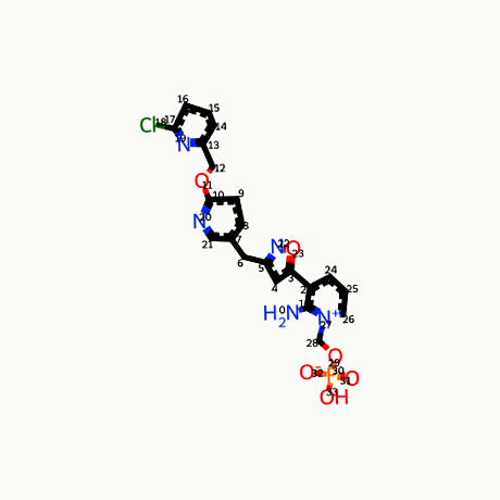 Nc1c(-c2cc(Cc3ccc(OCc4cccc(Cl)n4)nc3)no2)ccc[n+]1COP(=O)([O-])O